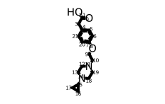 O=C(O)Cc1ccc(OCCN2CCN(C3CC3)CC2)cc1